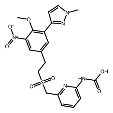 COc1c(-c2ccn(C)n2)cc(CCS(=O)(=O)Cc2cccc(NC(=O)O)n2)cc1[N+](=O)[O-]